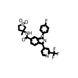 CC1(NC(=O)c2ccc3c(-c4ccnc(C(F)(F)F)c4)nn(-c4ccc(F)cc4)c3c2)CCS(=O)(=O)C1